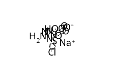 Nc1ncnc2c1nc(Sc1ccc(Cl)cc1)n2C1OC2COP(=O)([O-])OC2C1O.[Na+]